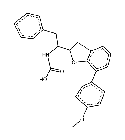 COc1ccc(-c2cccc3c2OC(C(Cc2ccccc2)NC(=O)O)C3)cc1